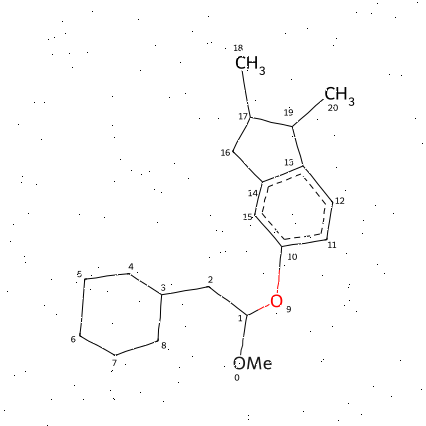 COC(CC1CCCCC1)Oc1ccc2c(c1)CC(C)C2C